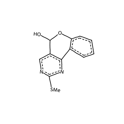 CSc1ncc2c(n1)-c1ccccc1OC2O